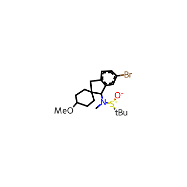 COC1CCC2(CC1)Cc1ccc(Br)cc1C2N(C)[S+]([O-])C(C)(C)C